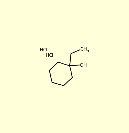 CCC1(O)CCCCC1.Cl.Cl